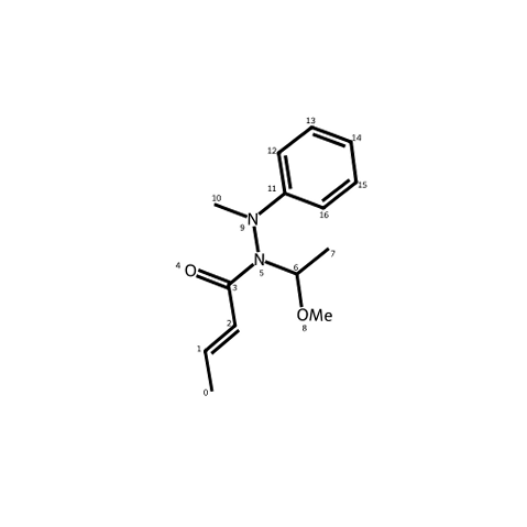 CC=CC(=O)N(C(C)OC)N(C)c1ccccc1